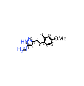 COc1ccc(CCc2cc(N)[nH]n2)c(C)c1